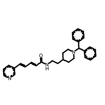 O=C(/C=C/C=C/c1cccnc1)NCCC1CCN(C(c2ccccc2)c2ccccc2)CC1